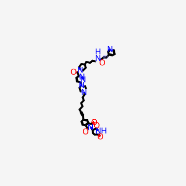 O=C(/C=C/c1cccnc1)NCCCCC1CCN(C(=O)c2ccc(N3CCN(CCCCCCC#Cc4ccc5c(c4)C(=O)N(C4CCC(=O)NC4=O)C5=O)CC3)nn2)CC1